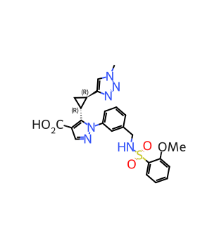 COc1ccccc1S(=O)(=O)NCc1cccc(-n2ncc(C(=O)O)c2[C@@H]2C[C@H]2c2cn(C)nn2)c1